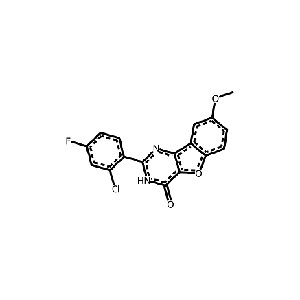 COc1ccc2oc3c(=O)[nH]c(-c4ccc(F)cc4Cl)nc3c2c1